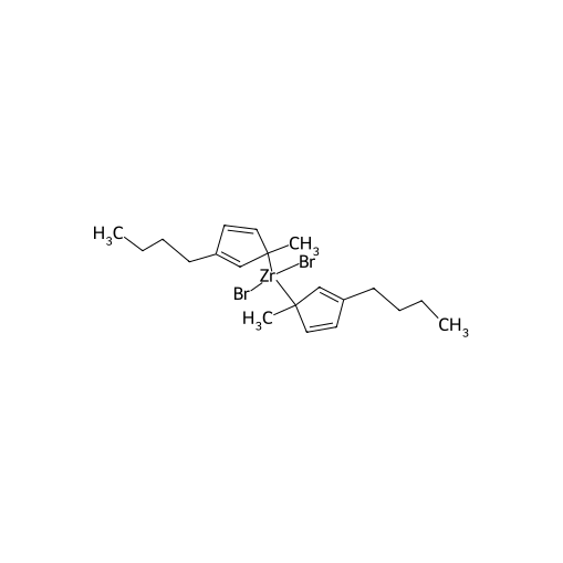 CCCCC1=C[C](C)([Zr]([Br])([Br])[C]2(C)C=CC(CCCC)=C2)C=C1